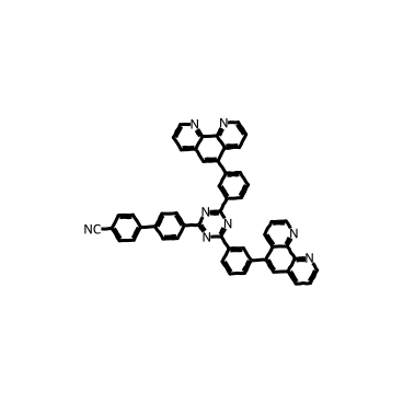 N#Cc1ccc(-c2ccc(-c3nc(-c4cccc(-c5cc6cccnc6c6ncccc56)c4)nc(-c4cccc(-c5cc6cccnc6c6ncccc56)c4)n3)cc2)cc1